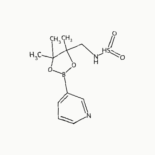 CC1(C)OB(c2cccnc2)OC1(C)CN[SH](=O)=O